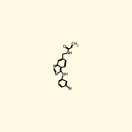 C=CC(=O)NCc1ccc2c(Nc3cccc(Br)c3)ncnc2c1